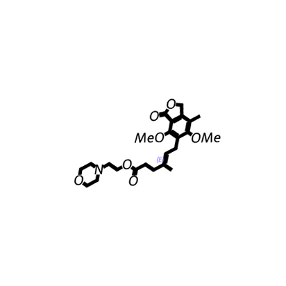 COc1c(C)c2c(c(OC)c1C/C=C(\C)CCC(=O)OCCN1CCOCC1)C(=O)OC2